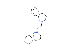 C1CCC2(CC1)CCCN(CCN1CCCC3(CC4CCC3CC4)C1)C2